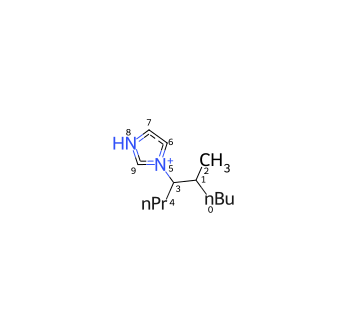 CCCCC(C)C(CCC)[n+]1cc[nH]c1